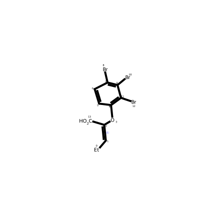 CC/C=C(/Oc1ccc(Br)c(Br)c1Br)C(=O)O